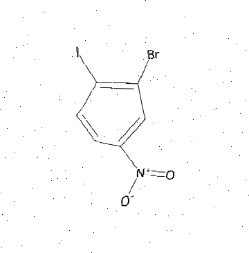 O=[N+]([O-])c1ccc(I)c(Br)c1